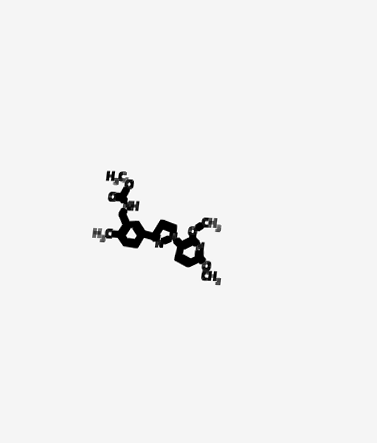 COC(=O)NCc1cc(-c2ccn(-c3ccc(OC)nc3OC)n2)ccc1C